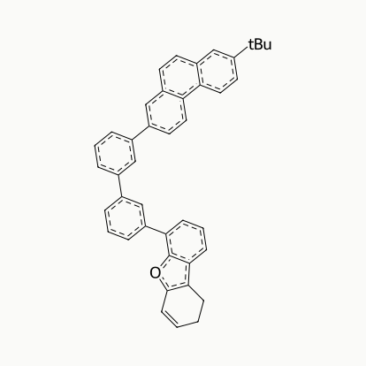 CC(C)(C)c1ccc2c(ccc3cc(-c4cccc(-c5cccc(-c6cccc7c8c(oc67)C=CCC8)c5)c4)ccc32)c1